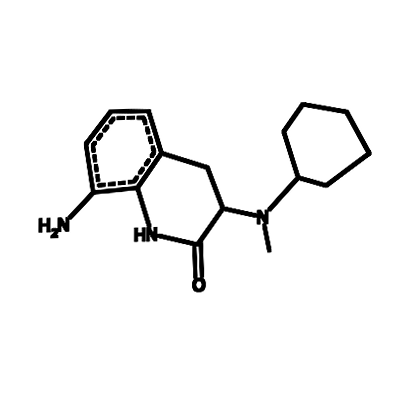 CN(C1CCCCC1)C1Cc2cccc(N)c2NC1=O